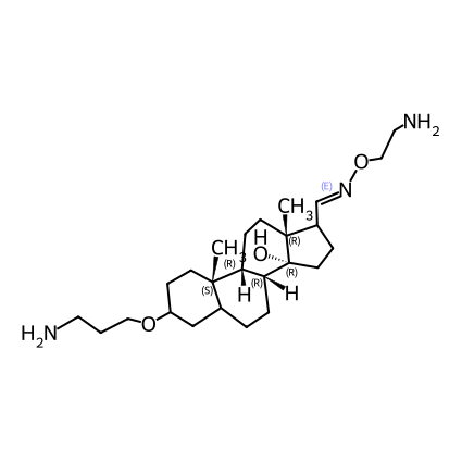 C[C@]12CCC(OCCCN)CC1CC[C@@H]1[C@H]2CC[C@]2(C)C(/C=N/OCCN)CC[C@@]12O